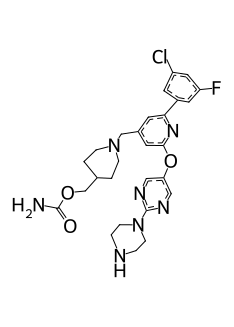 NC(=O)OCC1CCN(Cc2cc(Oc3cnc(N4CCNCC4)nc3)nc(-c3cc(F)cc(Cl)c3)c2)CC1